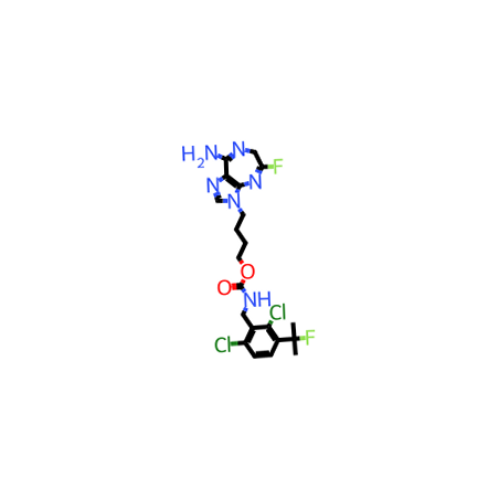 CC(C)(F)c1ccc(Cl)c(CNC(=O)OCCCCn2cnc3c2N=C(F)CN=C3N)c1Cl